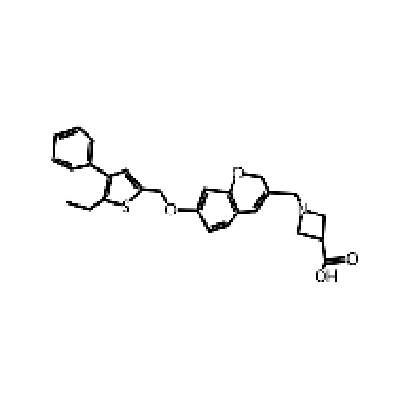 CCc1sc(COc2ccc3c(c2)OCC(CN2CC(C(=O)O)C2)=C3)cc1-c1ccccc1